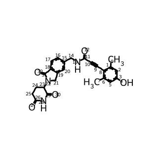 Cc1cc(O)cc(C)c1C#CC(=O)NCc1ccc2c(c1)CN(C1CCC(=O)NC1=O)C2=O